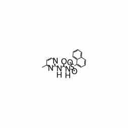 Cc1ccnc(NC(=O)NS(=O)(=O)c2cccc3ccccc23)n1